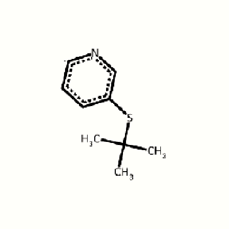 CC(C)(C)Sc1cc[c]nc1